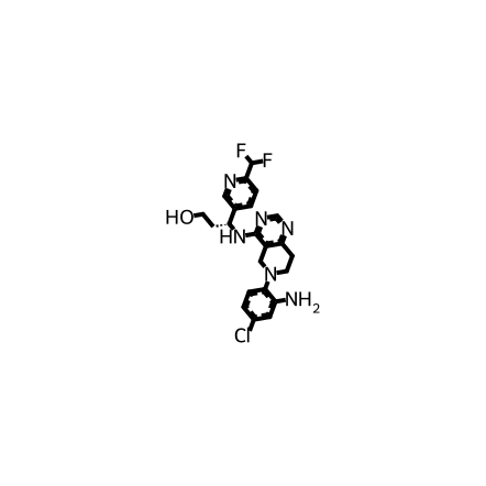 Nc1cc(Cl)ccc1N1CCc2ncnc(N[C@H](CCO)c3ccc(C(F)F)nc3)c2C1